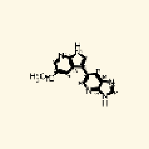 COc1cnc2[nH]cc(-c3cnc4[nH]cnc4c3)c2c1